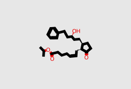 CC(C)OC(=O)CCC/C=C\C[C@H]1C(=O)CC[C@@H]1CC[C@@H](O)CCc1ccccc1